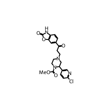 COC(=O)N1CCN(CCC(=O)c2ccc3[nH]c(=O)oc3c2)CC1c1ccc(Cl)nc1